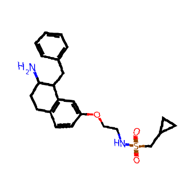 NC1CCc2ccc(OCCNS(=O)(=O)CC3CC3)cc2C1Cc1ccccc1